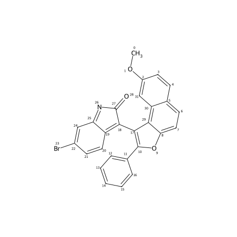 COc1ccc2ccc3oc(-c4ccccc4)c(C4=c5ccc(Br)cc5=NC4=O)c3c2c1